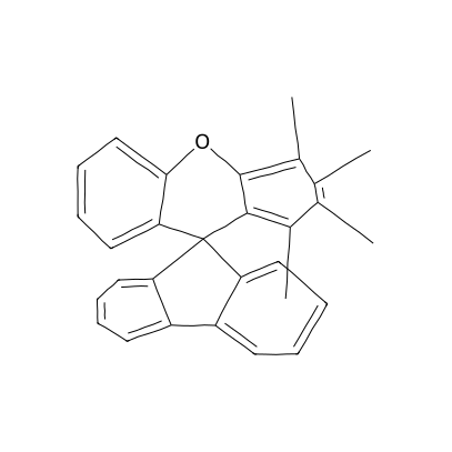 Cc1c(C)c(C)c2c(c1C)Oc1ccccc1C21c2ccccc2-c2ccccc21